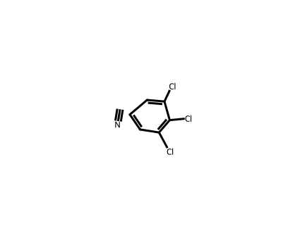 C#N.Clc1cccc(Cl)c1Cl